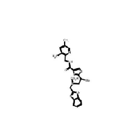 Cc1cnc(CNC(=O)c2csc(C(CN(Cc3nc4ccccc4[nH]3)C(=O)O)C(C)(C)C)n2)c(C)c1